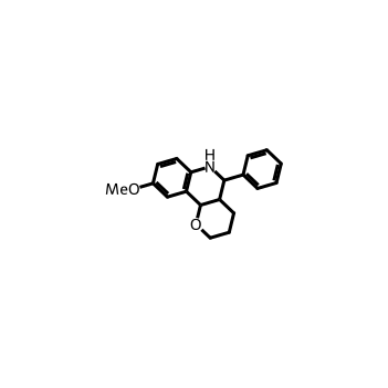 COc1ccc2c(c1)C1OCCCC1C(c1ccccc1)N2